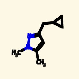 Cc1cc(CC2CC2)nn1C